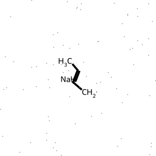 [CH2]C=CC.[NaH]